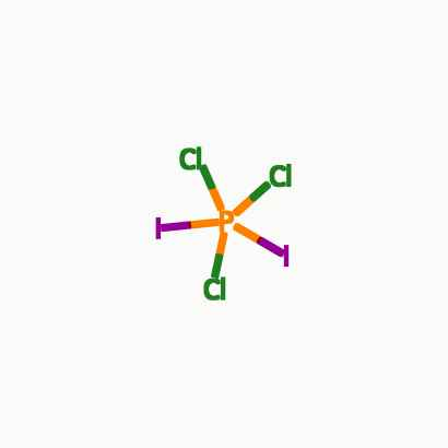 ClP(Cl)(Cl)(I)I